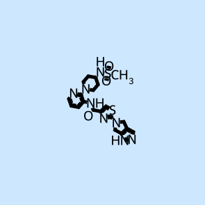 CS(=O)(=O)NC1CCN(c2ncccc2NC(=O)c2csc(N3Cc4cn[nH]c4C3)n2)CC1